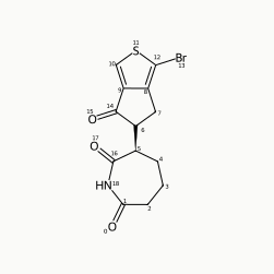 O=C1CCC[C@H](C2Cc3c(csc3Br)C2=O)C(=O)N1